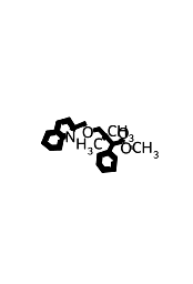 COC(=O)C(c1ccccc1)C(C)(C)COCc1ccc2ccccc2n1